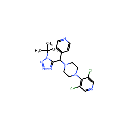 CC(C)(C)n1nnnc1C(c1ccncc1)N1CCN(c2c(Cl)cncc2Cl)CC1